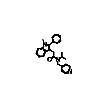 CC(C)N(Cc1ccncc1)C(=O)Cc1c(-c2ccccc2)n(C)c2ccccc12